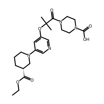 CCOC(=O)[C@@H]1CCCN(c2cncc(OC(C)(C)C(=O)N3CCN(C(=O)O)CC3)c2)C1